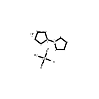 C1CCP(P2CCCC2)C1.F[B-](F)(F)F.[H+]